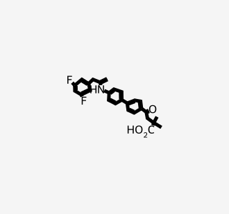 C=C(Cc1cc(F)cc(F)c1)Nc1ccc(-c2ccc(C(=O)CC(C)(C)C(=O)O)cc2)cc1